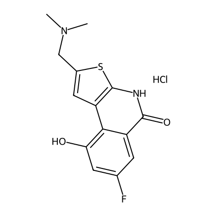 CN(C)Cc1cc2c([nH]c(=O)c3cc(F)cc(O)c32)s1.Cl